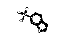 O=S(=O)(Cl)c1ccc2ccoc2c1